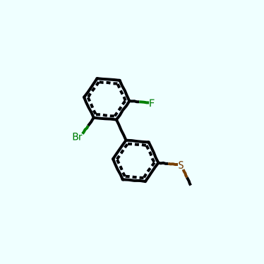 CSc1cccc(-c2c(F)cccc2Br)c1